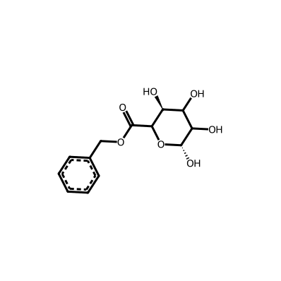 O=C(OCc1ccccc1)C1O[C@@H](O)C(O)C(O)[C@@H]1O